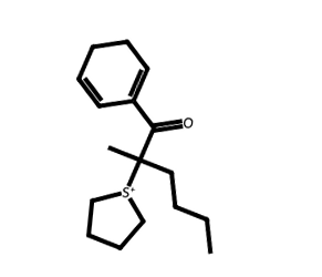 CCCCC(C)(C(=O)C1=CCCC=C1)[S+]1CCCC1